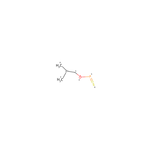 CC(C)COP=S